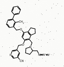 Cc1c(COc2cc(OCc3cncc(C#N)c3)c(CN3CCCC3CN=[N+]=[N-])c3c2CCC3)cccc1-c1ccccc1